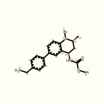 CC(=O)N1c2ccc(-c3ccc(CN)cc3)cc2[C@H](NC(=O)OC(C)C)C[C@@H]1C